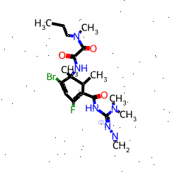 C=N/N=C(/NC(=O)C1=C(F)C=C(Br)C(C)(NC(=O)C(=O)N(C)CCC)C1C)N(C)C